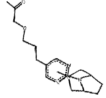 CC(=O)COCCCc1cnc(N2C3CCC2CN(C)C3)nc1